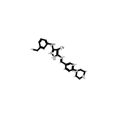 N#Cc1c(Nc2cccc(CI)c2)n[nH]c1/N=C/c1ccc(N2CCOCC2)nc1